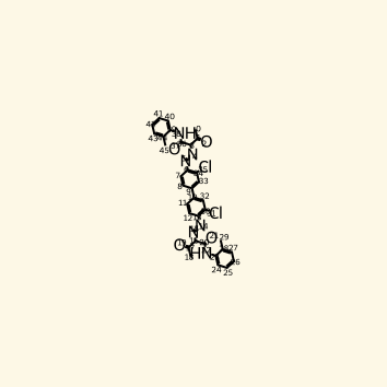 CC(=O)C(N=Nc1ccc(-c2ccc(N=NC(C(C)=O)C(=O)Nc3ccccc3C)c(Cl)c2)cc1Cl)C(=O)Nc1ccccc1C